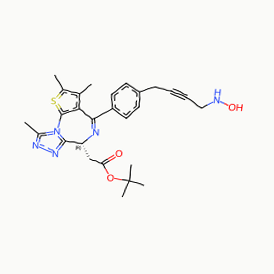 Cc1sc2c(c1C)C(c1ccc(CC#CCNO)cc1)=N[C@H](CC(=O)OC(C)(C)C)c1nnc(C)n1-2